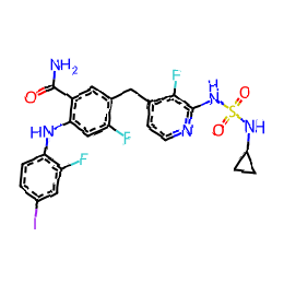 NC(=O)c1cc(Cc2ccnc(NS(=O)(=O)NC3CC3)c2F)c(F)cc1Nc1ccc(I)cc1F